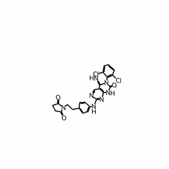 N=c1c2cnc(Nc3ccc(CCN4C(=O)CCC4=O)cc3)nc2[nH]c(=O)n1-c1c(Cl)cccc1Cl